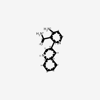 NC(=O)c1c(N)ccnc1-c1cnc2ccccc2c1